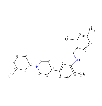 Cc1ccc(CNc2cc(C3CCN(C4CCCC(C)C4)CC3)ccc2C)c(C)c1